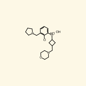 Cl.Cl.Clc1c(CN2CCCC2)cccc1OC1CC(CN2CCOCC2)C1